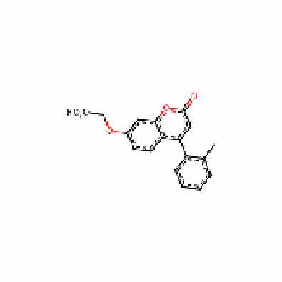 Cc1ccccc1-c1cc(=O)oc2cc(OCC(=O)O)ccc12